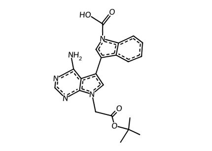 CC(C)(C)OC(=O)Cn1cc(-c2cn(C(=O)O)c3ccccc23)c2c(N)ncnc21